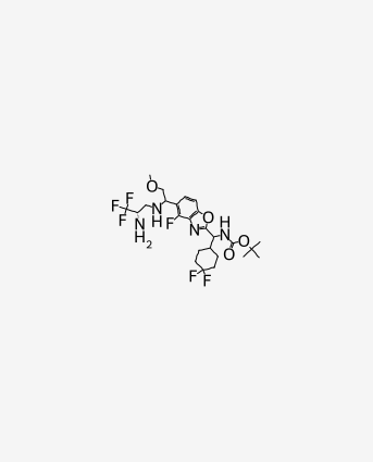 COCC(NC[C@H](N)C(F)(F)F)c1ccc2oc(C(NC(=O)OC(C)(C)C)C3CCC(F)(F)CC3)nc2c1F